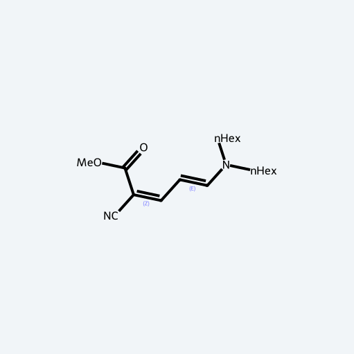 CCCCCCN(/C=C/C=C(/C#N)C(=O)OC)CCCCCC